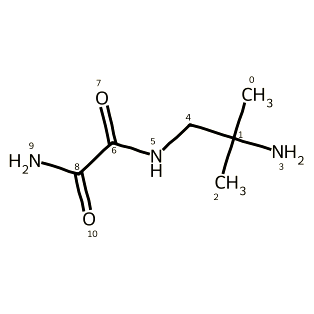 CC(C)(N)CNC(=O)C(N)=O